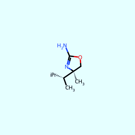 CC(C)[C@@H](C)[C@]1(C)COC(N)=N1